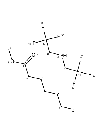 CCCCCCC(=O)OC.FC(F)(F)CPCC(F)(F)F